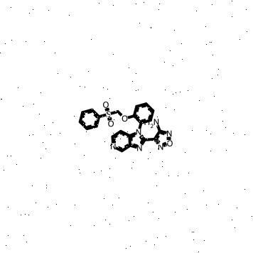 Nc1nonc1-c1nc2cnccc2n1-c1ccccc1OCS(=O)(=O)c1ccccc1